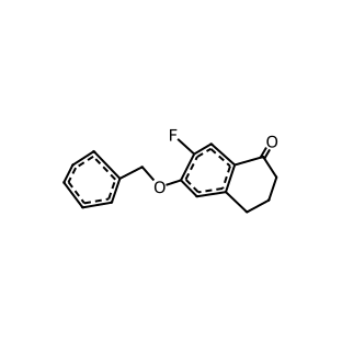 O=C1CCCc2cc(OCc3ccccc3)c(F)cc21